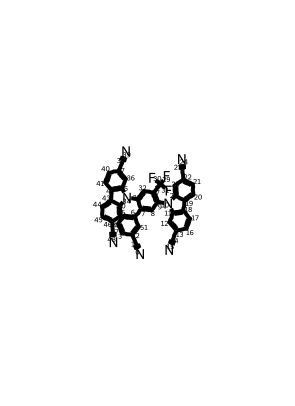 N#Cc1cccc(-c2cc(-n3c4cc(C#N)ccc4c4ccc(C#N)cc43)c(C(F)(F)F)cc2-n2c3cc(C#N)ccc3c3ccc(C#N)cc32)c1